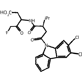 CC(C)C(CC(=O)n1c2ccccc2c2cc(Cl)c(Cl)cc21)C(=O)NC(CC(=O)O)C(=O)CF